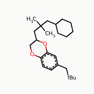 CC(C)(C)Cc1ccc2c(c1)OC(CC(C)(C)CC1CCCCC1)CO2